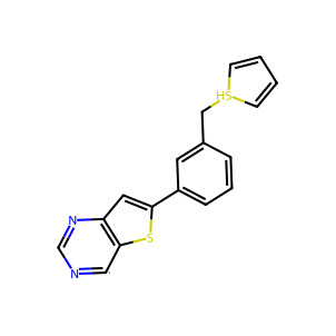 [c]1ncnc2cc(-c3cccc(C[SH]4C=CC=C4)c3)sc12